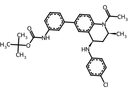 CC(=O)N1c2ccc(-c3cccc(NC(=O)OC(C)(C)C)c3)cc2[C@H](Nc2ccc(Cl)cc2)C[C@@H]1C